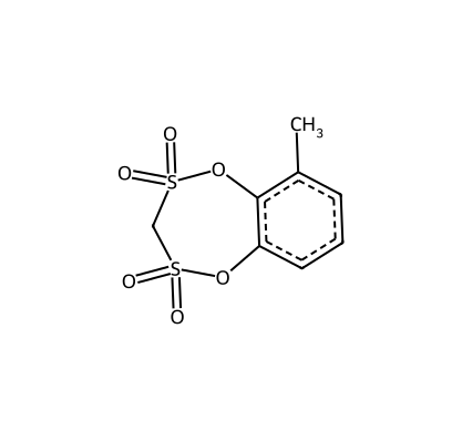 Cc1cccc2c1OS(=O)(=O)CS(=O)(=O)O2